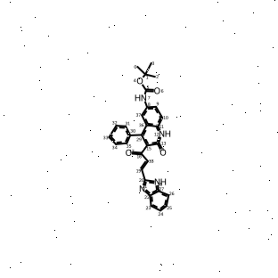 CC(C)(C)OC(=O)Nc1ccc2[nH]c(=O)c(C(=O)/C=C/c3nc4ccccc4[nH]3)c(-c3ccccc3)c2c1